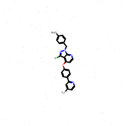 COc1ccc(Cn2nc(Br)c3c(Oc4ccc(-c5cc(C(F)(F)F)ccn5)cc4)ccnc32)cc1